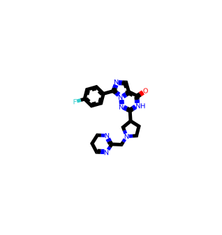 O=c1[nH]c(C2CCN(CC3=NCCC=N3)C2)nn2c(-c3ccc(F)cc3)ncc12